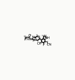 N#CCc1c(F)c(Cl)c(-c2cn3cc(NC(=O)C4CC4)nc3cn2)c2cn[nH]c12